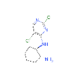 N[C@@H]1CCCC[C@H]1Nc1nc(Cl)ncc1Cl